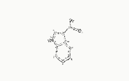 CC(C)C(=O)c1c[nH]c2ccccc12